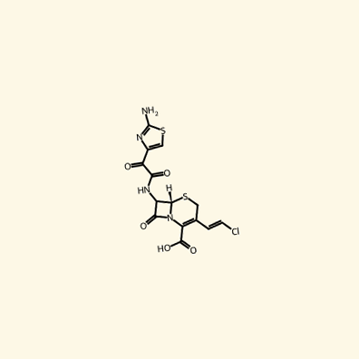 Nc1nc(C(=O)C(=O)NC2C(=O)N3C(C(=O)O)=C(/C=C/Cl)CS[C@@H]23)cs1